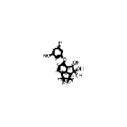 N#Cc1cc(F)cc(Oc2ccc3c4c2C(O)C(O)(O)C4C(F)(F)C3(F)F)c1